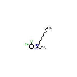 CCCCCCCCCN/C(CC)=N\c1ccc(Cl)c(Cl)c1